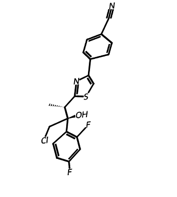 C[C@H](c1nc(-c2ccc(C#N)cc2)cs1)[C@@](O)(CCl)c1ccc(F)cc1F